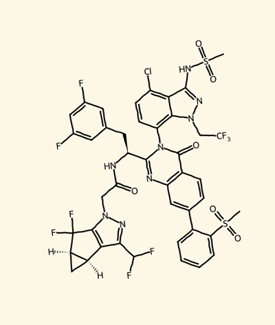 CS(=O)(=O)Nc1nn(CC(F)(F)F)c2c(-n3c([C@H](Cc4cc(F)cc(F)c4)NC(=O)Cn4nc(C(F)F)c5c4C(F)(F)[C@@H]4C[C@H]54)nc4cc(-c5ccccc5S(C)(=O)=O)ccc4c3=O)ccc(Cl)c12